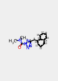 CN(C)C(=O)n1nnc(Cc2cccc3ccccc23)n1